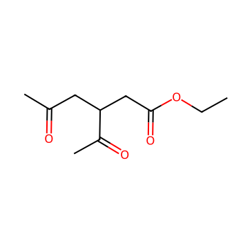 CCOC(=O)CC(CC(C)=O)C(C)=O